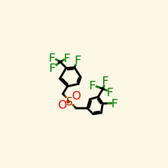 O=S(=O)(Cc1ccc(F)c(C(F)(F)F)c1)Cc1ccc(F)c(C(F)(F)F)c1